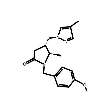 COc1ccc(CN2C(=O)C[C@H](Cn3cc(I)cn3)[C@H]2C)cc1